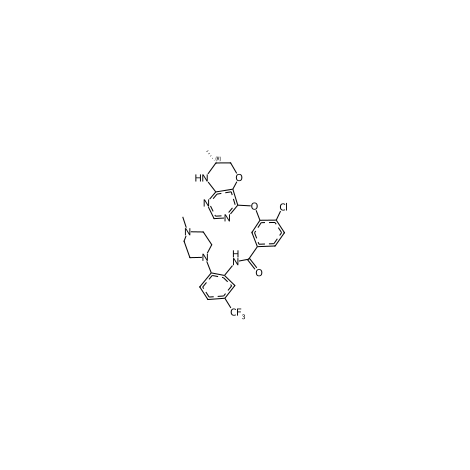 C[C@@H]1COc2c(ncnc2Oc2cc(C(=O)Nc3cc(C(F)(F)F)ccc3N3CCN(C)CC3)ccc2Cl)N1